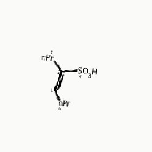 CCC/C=C(/CCC)S(=O)(=O)O